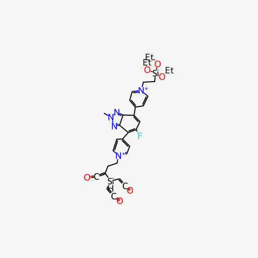 CCO[Si](CC[n+]1ccc(-c2cc(F)c(-c3cc[n+](CCC(=C=O)[SiH](C=C=O)C=C=O)cc3)c3nn(C)nc23)cc1)(OCC)OCC